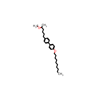 CCCCCCCCCCOc1ccc(-c2ccc(CCCCC(C)OC)cc2)cc1